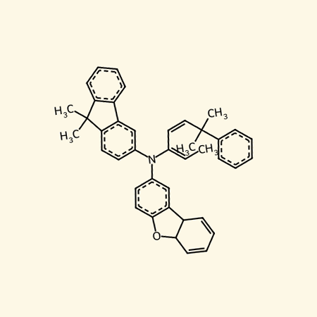 C/C=C(\C=C/C(C)(C)c1ccccc1)N(c1ccc2c(c1)-c1ccccc1C2(C)C)c1ccc2c(c1)C1C=CC=CC1O2